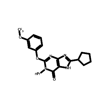 CCCn1c(Oc2cccc(OC(F)(F)F)c2)nc2nc(C3CCCC3)[nH]c2c1=O